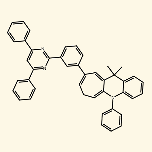 CC1(C)C2=CC(c3cccc(-c4nc(-c5ccccc5)cc(-c5ccccc5)n4)c3)=CCC=C2N(c2ccccc2)c2ccccc21